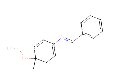 CCCCCCOC1(C)C=CC(N=Cc2ccccc2)=CC1